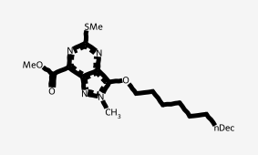 CCCCCCCCCCCCCCCCOc1c2nc(SC)nc(C(=O)OC)c2nn1C